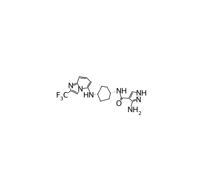 Nc1n[nH]cc1C(=O)N[C@H]1CC[C@@H](Nc2cccc3nc(C(F)(F)F)cn23)CC1